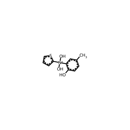 Cc1ccc(O)c([N+](O)(O)c2cccs2)c1